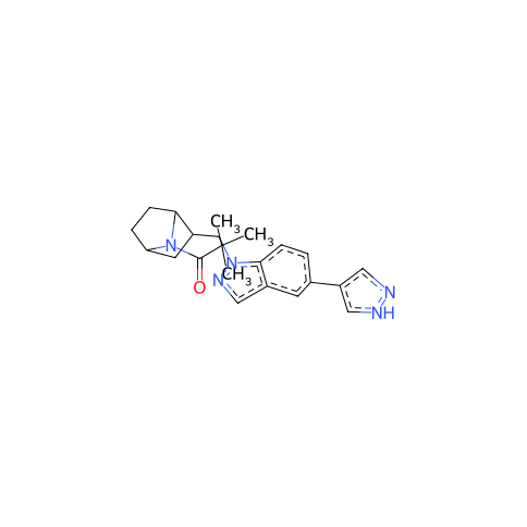 CC(C)(C)C(=O)N1C2CCC1C(Cn1ncc3cc(-c4cn[nH]c4)ccc31)C2